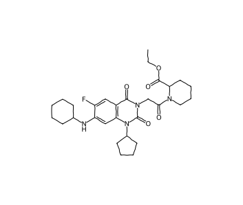 CCOC(=O)C1CCCCN1C(=O)Cn1c(=O)c2cc(F)c(NC3CCCCC3)cc2n(C2CCCC2)c1=O